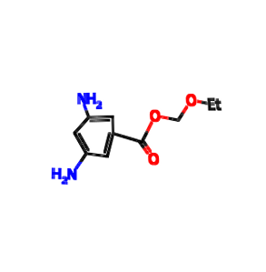 CCOCOC(=O)c1cc(N)cc(N)c1